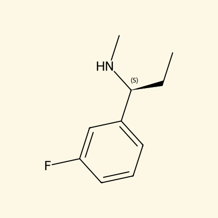 CC[C@H](NC)c1cccc(F)c1